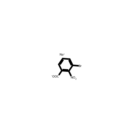 O=C([O-])c1cccc(Br)c1[N+](=O)[O-].[Na+]